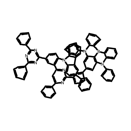 c1ccc(-c2ccc3c(c2)c2ccccc2n3-c2ccc(-c3nc(-c4ccccc4)nc(-c4ccccc4)n3)cc2-c2cc(-c3ccccc3)nc(-c3cccc(-c4cc5c6c(c4)N(c4ccccc4)c4ccccc4B6c4ccccc4N5c4ccccc4)c3)n2)cc1